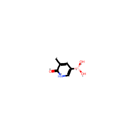 Cc1cc(B(O)O)c[nH]c1=O